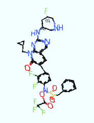 O=C(ON(c1ccc(-c2cc3cnc(N[C@@H]4CNC[C@@H](F)C4)nc3n(CC3CC3)c2=O)c(F)c1F)S(=O)(=O)Cc1ccccc1)C(F)(F)F